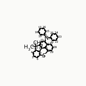 CC1(C)c2cccc3c2-c2c1cc(N(c1ccccc1)c1ccccc1)c1cccc(c21)S3